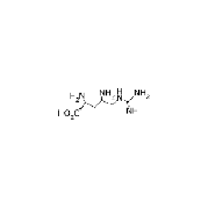 N=C(N)NCC(N)C[C@H](N)C(=O)O